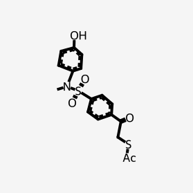 CC(=O)SCC(=O)c1ccc(S(=O)(=O)N(C)c2ccc(O)cc2)cc1